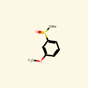 COS(=O)c1cccc(OC(F)(F)F)c1